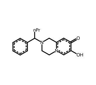 CCCC(c1ccccc1)N1CCn2cc(O)c(=O)cc2C1